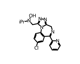 CC(C)N(O)Cc1nnc2n1-c1ccc(Cl)cc1C(c1ccccn1)=NC2